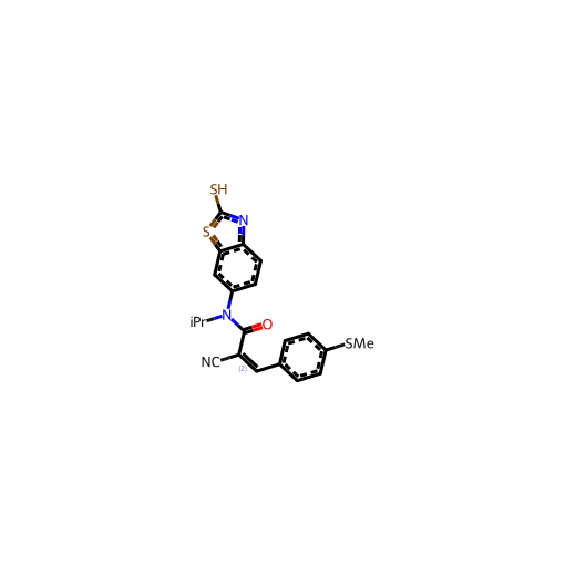 CSc1ccc(/C=C(/C#N)C(=O)N(c2ccc3nc(S)sc3c2)C(C)C)cc1